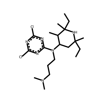 CCC1(C)CC(N(CCCN(C)C)c2nc(Cl)nc(Cl)n2)C(C)C(C)(CC)N1